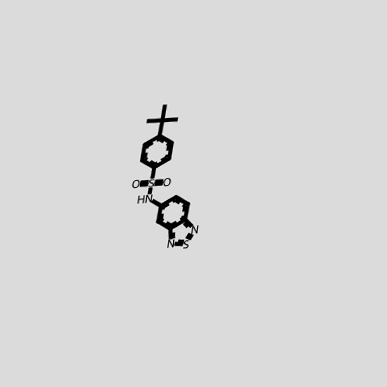 CC(C)(C)c1ccc(S(=O)(=O)Nc2ccc3nsnc3c2)cc1